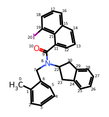 Cc1ccccc1CN(C(=O)c1cccc2cccc(I)c12)C1Cc2ccccc2C1